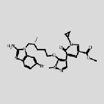 COC(=O)c1cc(-c2cnn(C)c2OCCC[C@@H](C)Cn2c(N)nc3ccc(Br)cc32)c(=O)n(C2CC2)c1